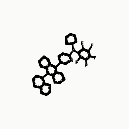 Fc1c(F)c(F)c(N(c2ccccc2)c2ccc(-c3c4ccccc4c(-c4cccc5ccccc45)c4ccccc34)cn2)c(F)c1F